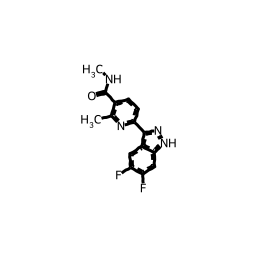 CNC(=O)c1ccc(-c2n[nH]c3cc(F)c(F)cc23)nc1C